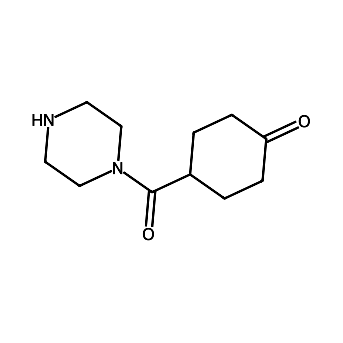 O=C1CCC(C(=O)N2CCNCC2)CC1